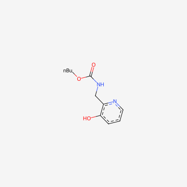 CCCCOC(=O)NCc1ncccc1O